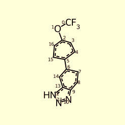 FC(F)(F)Oc1ccc(-c2ccc3nn[nH]c3c2)cc1